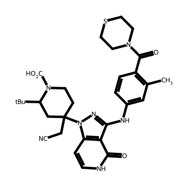 Cc1cc(Nc2nn(C3(CC#N)CCN(C(=O)O)C(C(C)(C)C)C3)c3cc[nH]c(=O)c23)ccc1C(=O)N1CCSCC1